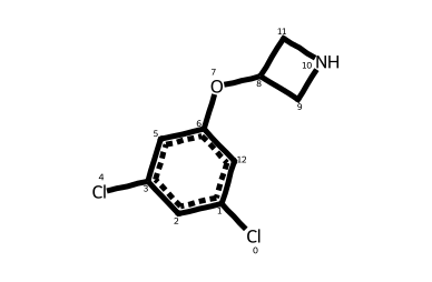 Clc1cc(Cl)cc(OC2CNC2)c1